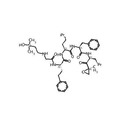 CC(C)CC[C@H](NC(=O)[C@H](CCc1ccccc1)NC(=O)CNCC[Si](C)(C)O)C(=O)N[C@@H](Cc1ccccc1)C(=O)N[C@@H](CC(C)C)C(=O)[C@@]1(C)CO1